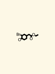 CCOC(=O)CC1CCC(=O)C(Br)C1